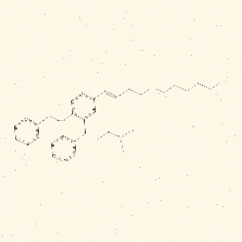 CC(C)N(CC[C@H](c1ccccc1)c1cc(C=CCCOCCCCCC#N)ccc1OCc1ccccc1)C(C)C